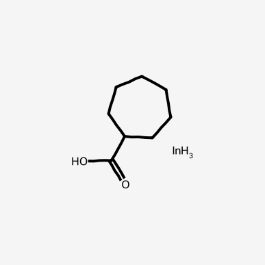 O=C(O)C1CCCCCC1.[InH3]